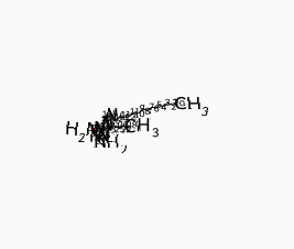 CCCCCCCCCCCCCCCCCc1nccn1C(CCCCCC)c1nc(N)nc(N)n1